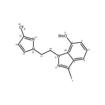 COc1cccc2c(I)nn(CCn3ccc(C(F)(F)F)n3)c12